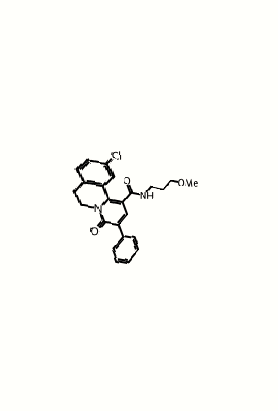 COCCCNC(=O)c1cc(-c2ccccc2)c(=O)n2c1-c1cc(Cl)ccc1CC2